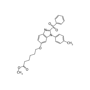 COC(=O)CCCCCOc1ccc2nc(S(=O)(=O)c3ccccc3)n(-c3ccc(C)cc3)c2c1